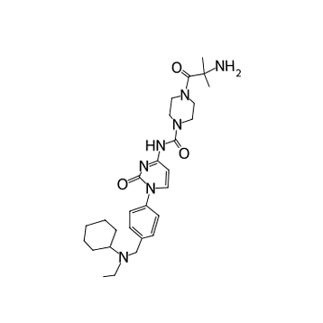 CCN(Cc1ccc(-n2ccc(NC(=O)N3CCN(C(=O)C(C)(C)N)CC3)nc2=O)cc1)C1CCCCC1